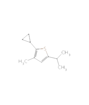 Cc1cc(C(C)C)sc1C1CC1